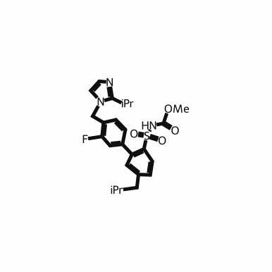 COC(=O)NS(=O)(=O)c1ccc(CC(C)C)cc1-c1ccc(Cn2ccnc2C(C)C)c(F)c1